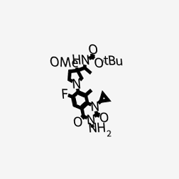 COC1(C(C)NC(=O)OC(C)(C)C)CCN(c2c(F)cc3c(=O)n(N)c(=O)n(C4CC4)c3c2C)C1